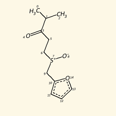 CC(C)C(=O)CC[S+]([O-])Cc1ccco1